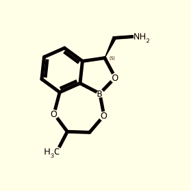 CC1COB2O[C@H](CN)c3cccc(c32)O1